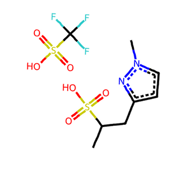 CC(Cc1ccn(C)n1)S(=O)(=O)O.O=S(=O)(O)C(F)(F)F